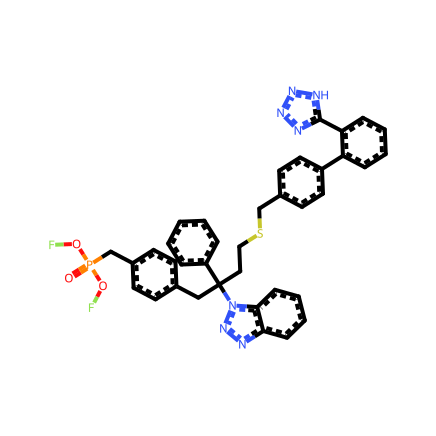 O=P(Cc1ccc(CC(CCSCc2ccc(-c3ccccc3-c3nnn[nH]3)cc2)(c2ccccc2)n2nnc3ccccc32)cc1)(OF)OF